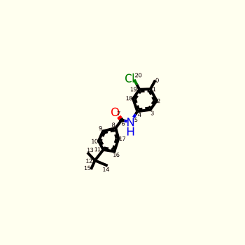 Cc1ccc(NC(=O)c2ccc(C(C)(C)C)cc2)cc1Cl